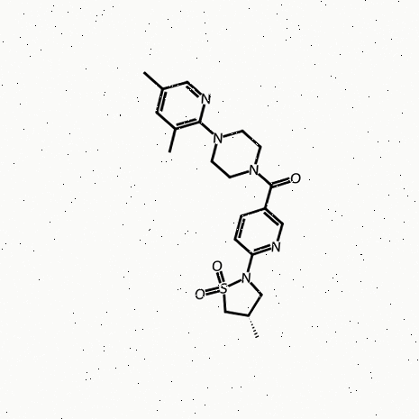 Cc1cnc(N2CCN(C(=O)c3ccc(N4C[C@H](C)CS4(=O)=O)nc3)CC2)c(C)c1